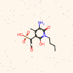 CCCCn1c(O)c(C(=C=O)S(=O)(=O)O)c(C)c(N)c1=O